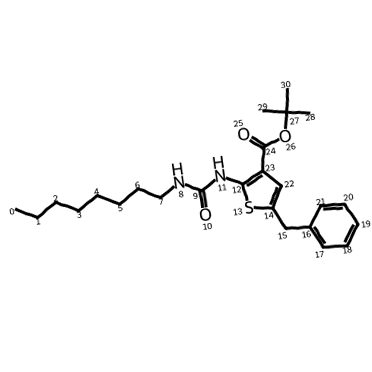 CCCCCCCCNC(=O)Nc1sc(Cc2ccccc2)cc1C(=O)OC(C)(C)C